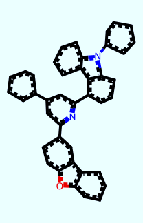 c1ccc(-c2cc(-c3ccc4oc5ccccc5c4c3)nc(-c3cccc4c3c3ccccc3n4-c3ccccc3)c2)cc1